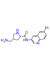 CCc1ccc2ncc(NC(=O)C3CC(CN)CN3)cc2c1